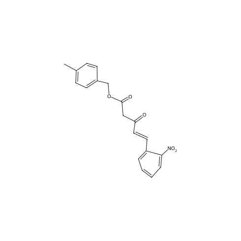 Cc1ccc(COC(=O)CC(=O)C=Cc2ccccc2[N+](=O)[O-])cc1